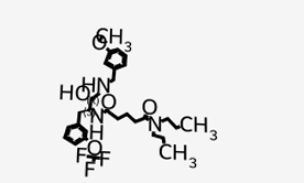 CCCN(CCC)C(=O)CCCC(=O)N[C@@H](Cc1cccc(OC(F)(F)F)c1)[C@H](O)CNCc1cccc(OC)c1